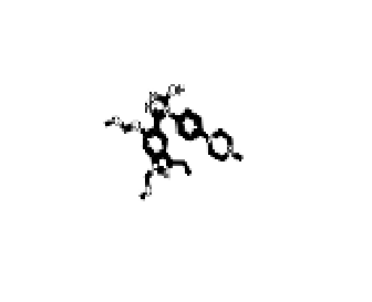 CCc1nn(COC)c2cc(OCOC)c(-c3nnc(O)n3-c3ccc(N4CCN(C)CC4)cc3)cc12